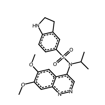 COc1cc2nncc(N(C(C)C)S(=O)(=O)c3ccc4c(c3)CCN4)c2cc1OC